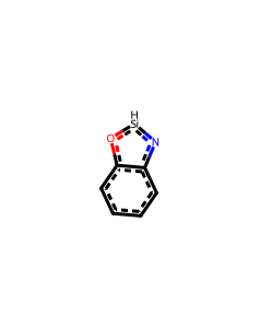 c1ccc2o[siH]nc2c1